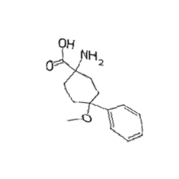 COC1(c2ccccc2)CCC(N)(C(=O)O)CC1